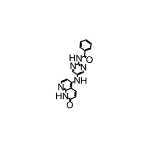 O=C(Nc1ncc(Nc2ccnc3[nH]c(=O)ccc23)cn1)c1ccccc1